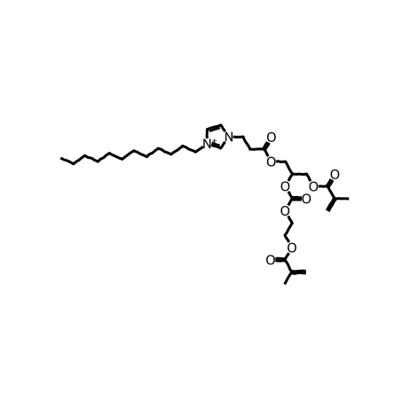 C=C(C)C(=O)OCCOC(=O)OC(COC(=O)CCn1cc[n+](CCCCCCCCCCCC)c1)COC(=O)C(=C)C